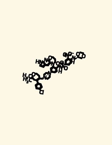 CC1(C)CC(c2ccc(Cl)cc2)=C(CN2CCN(c3ccc(C(=O)NS(=O)(=O)c4ccc(NC[C@H]5COCCO5)c([N+](=O)[O-])c4)c(N4CCCOc5nc6[nH]ccc6cc54)c3)CC2)CCO1